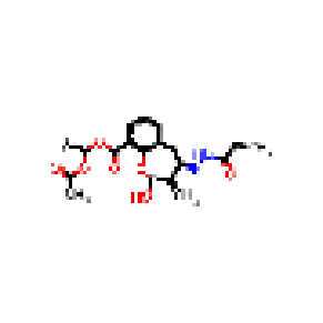 C=C1B(O)Oc2c(cccc2C(=O)OC(C)OC(C)=O)C/C1=N\NC(=O)CC